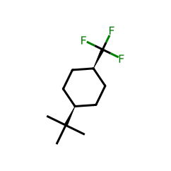 CC(C)(C)[C@H]1CC[C@@H](C(F)(F)F)CC1